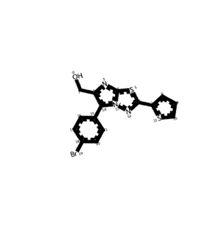 OCc1nc2sc(-c3cccs3)nn2c1-c1ccc(Br)cc1